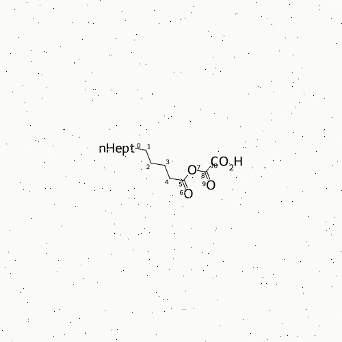 CCCCCCCCCCCC(=O)OC(=O)C(=O)O